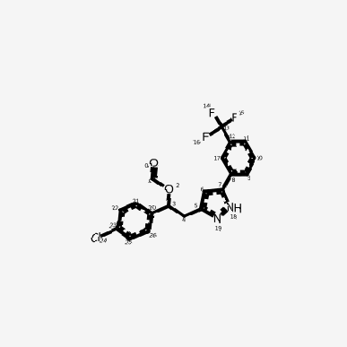 O=COC(Cc1cc(-c2cccc(C(F)(F)F)c2)[nH]n1)c1ccc(Cl)cc1